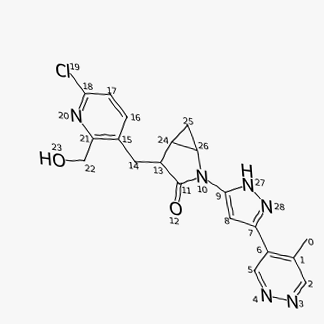 Cc1cnncc1-c1cc(N2C(=O)C(Cc3ccc(Cl)nc3CO)C3CC32)[nH]n1